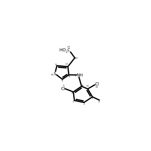 Cc1ccc(Cl)c(Nc2cscc2CC(=O)O)c1Cl